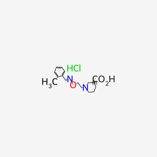 Cc1ccccc1C=NOCCN1CCC[C@@H](C(=O)O)C1.Cl